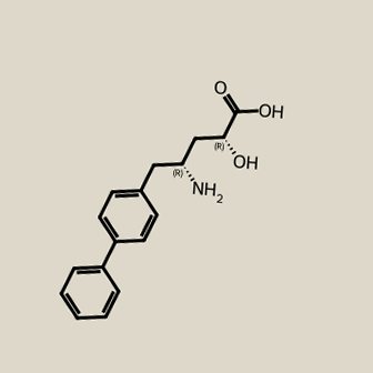 N[C@H](Cc1ccc(-c2ccccc2)cc1)C[C@@H](O)C(=O)O